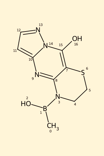 CB(O)N1CCSc2c1nc1ccnn1c2O